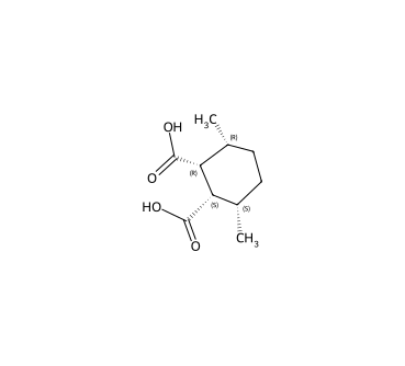 C[C@@H]1CC[C@H](C)[C@H](C(=O)O)[C@@H]1C(=O)O